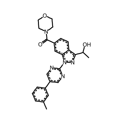 Cc1cccc(-c2cnc(-n3nc(C(C)O)c4ccc(C(=O)N5CCOCC5)cc43)nc2)c1